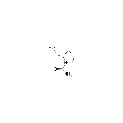 NC(=O)N1CCCC1CO